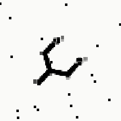 CC(C[O])C[O]